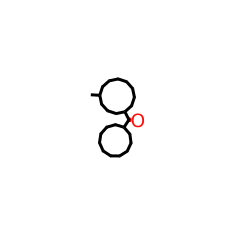 CC1CCCCCCCC(C(=O)C2CCCCCCCCCC2)CCC1